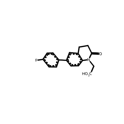 O=C(O)CN1C(=O)CCc2cc(-c3ccc(F)cc3)ccc21